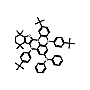 CC(C)(C)c1ccc(N2c3ccc(C(C)(C)C)cc3B3c4oc5c(c4N(c4ccc(C(C)(C)C)cc4)c4cc(N(c6ccccc6)c6ccccc6)cc2c43)C(C)(C)CCC5(C)C)cc1